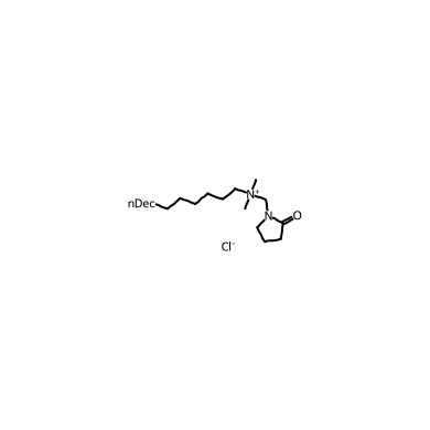 CCCCCCCCCCCCCCCC[N+](C)(C)CN1CCCC1=O.[Cl-]